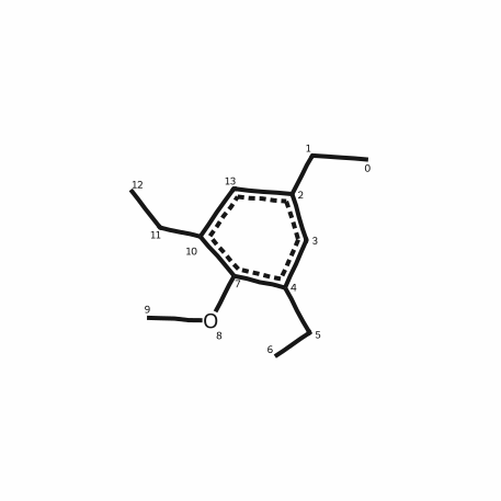 CCc1cc(CC)c(OC)c(CC)c1